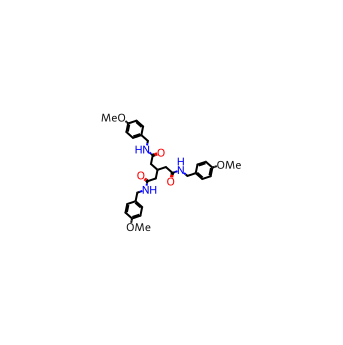 COc1ccc(CNC(=O)CC(CC(=O)NCc2ccc(OC)cc2)CC(=O)NCc2ccc(OC)cc2)cc1